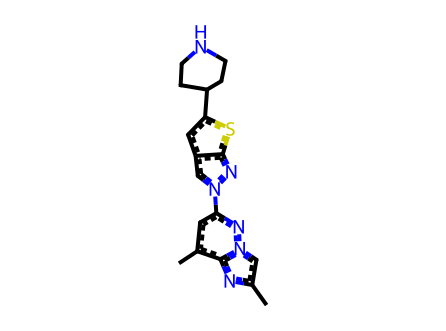 Cc1cn2nc(-n3cc4cc(C5CCNCC5)sc4n3)cc(C)c2n1